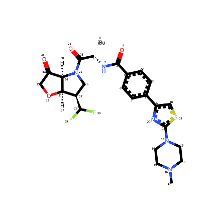 CC[C@H](C)[C@H](NC(=O)c1ccc(-c2csc(N3CCN(C)CC3)n2)cc1)C(=O)N1C[C@@H](C(F)F)[C@H]2OCC(=O)[C@H]21